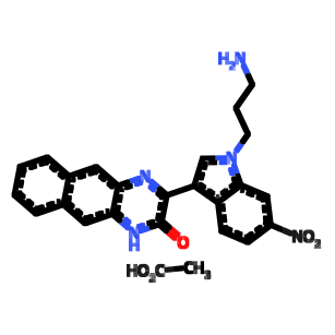 CC(=O)O.NCCCn1cc(-c2nc3cc4ccccc4cc3[nH]c2=O)c2ccc([N+](=O)[O-])cc21